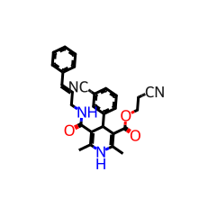 CC1=C(C(=O)NCC=Cc2ccccc2)C(c2cccc(C#N)c2)C(C(=O)OCCC#N)=C(C)N1